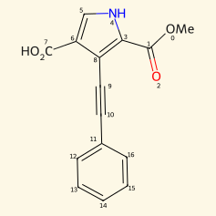 COC(=O)c1[nH]cc(C(=O)O)c1C#Cc1ccccc1